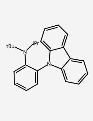 CC(C)N(c1ccccc1-n1c2ccccc2c2ccccc21)C(C)(C)C